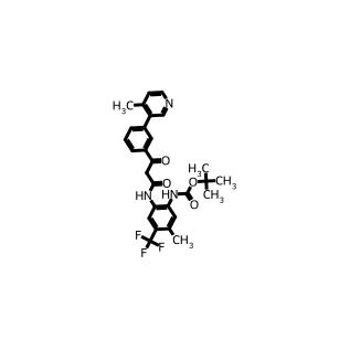 Cc1ccncc1-c1cccc(C(=O)CC(=O)Nc2cc(C(F)(F)F)c(C)cc2NC(=O)OC(C)(C)C)c1